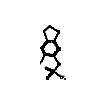 O=S(=O)(Oc1nc2c(cc1F)CCS2)C(F)(F)F